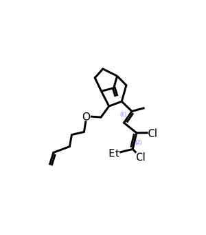 C=CCCCOCC1C2CCC(CC1/C(C)=C/C(Cl)=C(/Cl)CC)C2=C